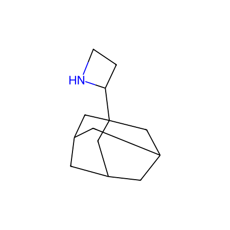 C1CC(C23CC4CC(CC(C4)C2)C3)N1